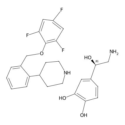 Fc1cc(F)c(OCc2ccccc2C2CCNCC2)c(F)c1.NC[C@H](O)c1ccc(O)c(O)c1